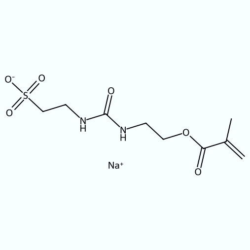 C=C(C)C(=O)OCCNC(=O)NCCS(=O)(=O)[O-].[Na+]